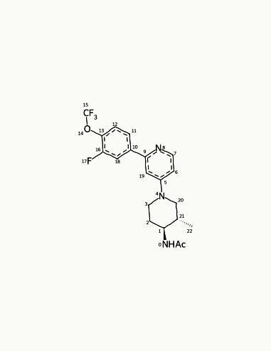 CC(=O)N[C@H]1CCN(c2ccnc(-c3ccc(OC(F)(F)F)c(F)c3)c2)C[C@@H]1C